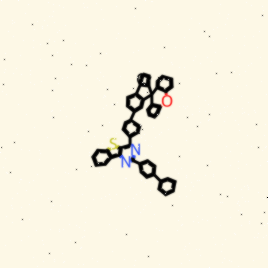 c1ccc(-c2ccc(-c3nc(-c4ccc(-c5ccc6c(c5)C5(c7ccccc7Oc7ccccc75)c5ccccc5-6)cc4)c4sc5ccccc5c4n3)cc2)cc1